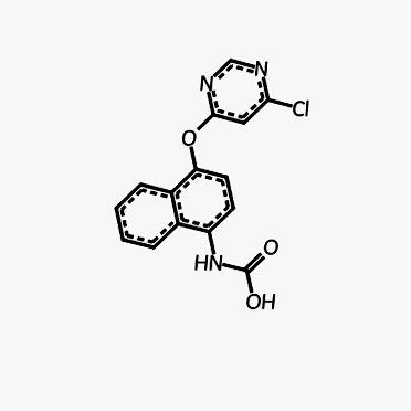 O=C(O)Nc1ccc(Oc2cc(Cl)ncn2)c2ccccc12